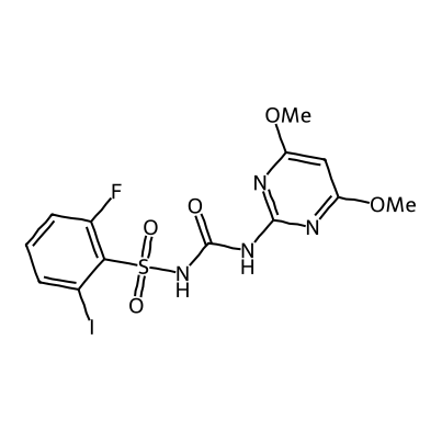 COc1cc(OC)nc(NC(=O)NS(=O)(=O)c2c(F)cccc2I)n1